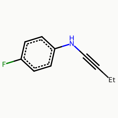 CCC#CNc1ccc(F)cc1